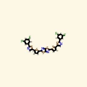 Fc1cc(F)cc(-c2ncc(-c3ccc(-c4nc5sc(-c6ccc(-c7cnc(-c8cc(F)cc(F)c8)s7)s6)nc5s4)s3)s2)c1